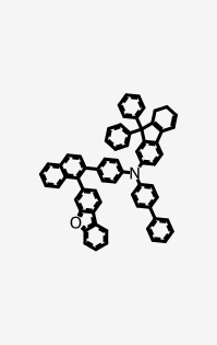 C1=CC2=C(CC1)C(c1ccccc1)(c1ccccc1)c1cc(N(c3ccc(-c4ccccc4)cc3)c3ccc(-c4ccc5ccccc5c4-c4ccc5c(c4)oc4ccccc45)cc3)ccc12